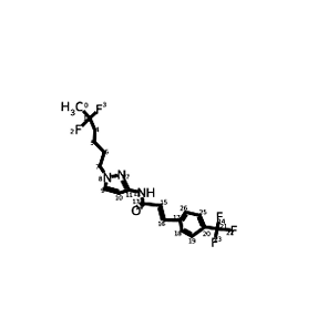 CC(F)(F)CCCCn1ccc(NC(=O)/C=C/c2ccc(C(F)(F)F)cc2)n1